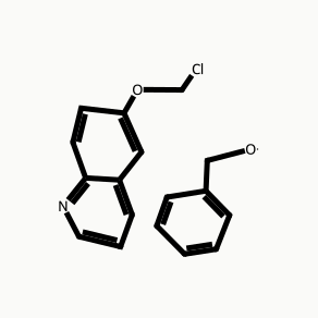 ClCOc1ccc2ncccc2c1.[O]Cc1ccccc1